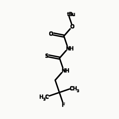 CC(C)(F)CNC(=S)NC(=O)OC(C)(C)C